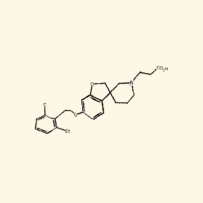 CCc1cccc(Cl)c1COc1ccc2c(c1)OCC21CCCN(CCC(=O)O)C1